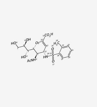 CC(=O)N[C@H]1[C@H]([C@H](O)[C@H](O)CO)OC(C(=O)O)=C[C@@H]1NS(=O)(=O)c1ccccc1C